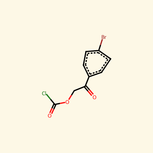 O=C(Cl)OCC(=O)c1ccc(Br)cc1